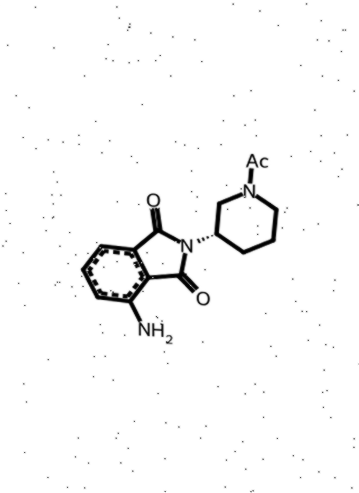 CC(=O)N1CCC[C@H](N2C(=O)c3cccc(N)c3C2=O)C1